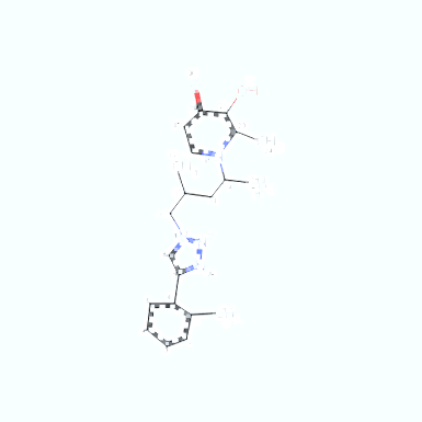 Cc1ccccc1-c1cn(CC(C)CC(C)n2ccc(=O)c(O)c2C)nn1